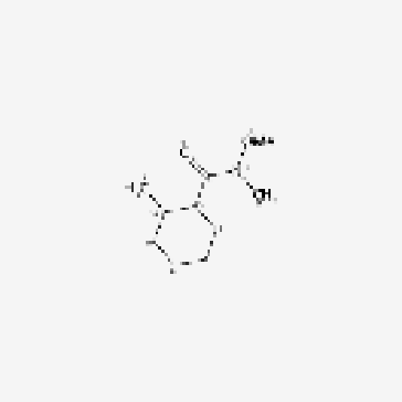 CON(C)C(=O)C1CCCCC1C